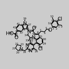 Cc1cc(OCCCc2c3n(c4c(-c5c(C)nc(CN6CCCC6)nc5C)c(Cl)ccc24)C(C)CN(c2cn(C)c4ccc(C(=O)O)cc24)C3=O)cc(C)c1Cl